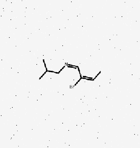 C/C=C(Br)\C=N/CC(C)C